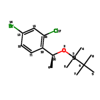 C[C@H](O[Si](C)(C)C(C)(C)C)c1ccc(Br)cc1Cl